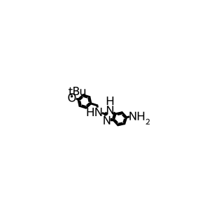 CC(C)(C)Oc1ccc(CNc2nc3ccc(N)cc3[nH]2)cc1